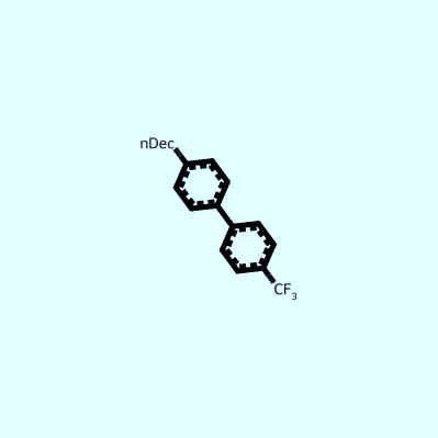 CCCCCCCCCCc1ccc(-c2ccc(C(F)(F)F)cc2)cc1